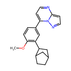 COc1ccc(-c2ccnc3ccnn23)cc1C1CC2CCC1C2